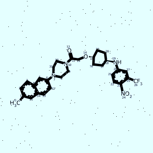 Cc1ccc2cc(N3CCN(C(=O)CO[C@H]4CC[C@H](Nc5ccc([N+](=O)[O-])c(C(F)(F)F)c5)CC4)CC3)ccc2c1